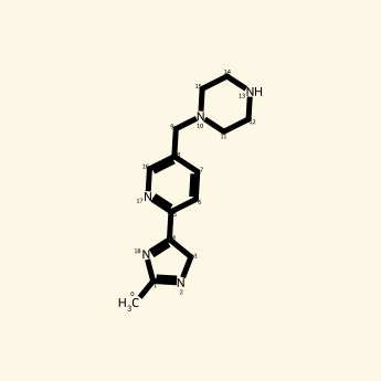 CC1=NCC(c2ccc(CN3CCNCC3)cn2)=N1